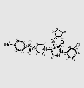 CC(C)(C)c1ccc(S(=O)(=O)N2CCN(c3cnn(-c4cccc(Cl)c4)c(=O)c3OC3CCCC3)CC2)cc1